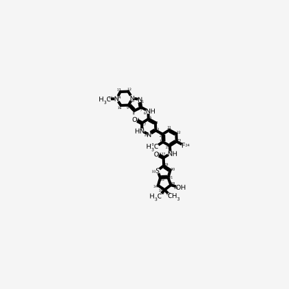 Cc1c(-c2cc(Nc3cc4n(n3)CCN(C)C4)c(=O)[nH]n2)ccc(F)c1NC(=O)c1cc2c(s1)CC(C)(C)C2O